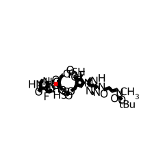 CN(CCCC(=O)Nc1ncnc2c1ncn2[C@@H]1CC2CO[P@@](=O)(S)O[C@@H]3[C@H](O)C(CO[P@@](=O)(S)O[C@H]2[C@H]1F)O[C@H]3n1cc(F)c2c(=O)[nH]cnc21)C(=O)OC(C)(C)C